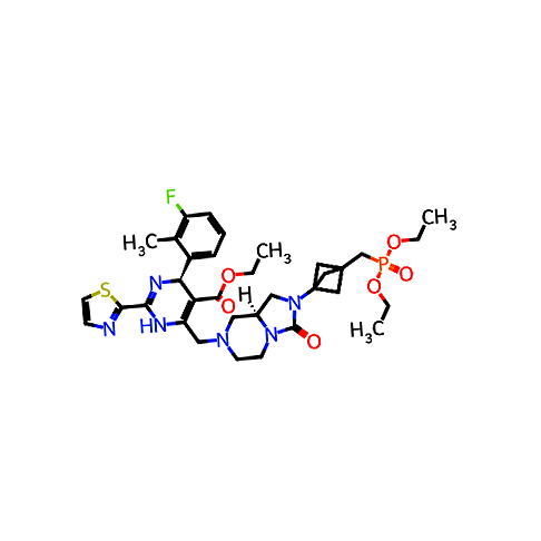 CCOC(=O)C1=C(CN2CCN3C(=O)N(C45CC(CP(=O)(OCC)OCC)(C4)C5)C[C@@H]3C2)NC(c2nccs2)=N[C@H]1c1cccc(F)c1C